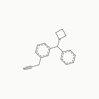 N#CCc1cccc(C(c2ccccc2)N2CCC2)c1